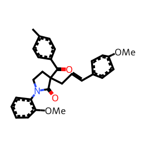 COc1ccc(C=CCC2(C(=O)c3ccc(C)cc3)CCN(c3ccccc3OC)C2=O)cc1